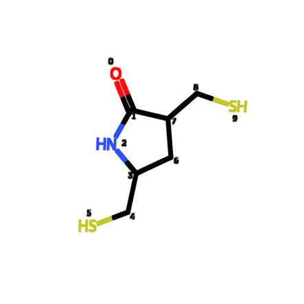 O=C1NC(CS)CC1CS